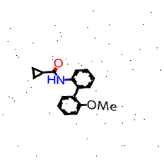 COc1ccccc1-c1ccccc1NC(=O)C1CC1